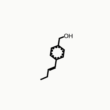 CCC=Cc1ccc(CO)cc1